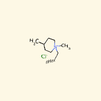 CCCCCCC[N+]1(C)CCC(C)CC1.[Cl-]